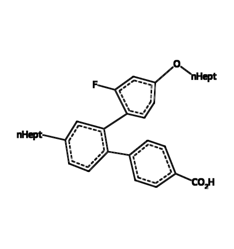 CCCCCCCOc1ccc(-c2cc(CCCCCCC)ccc2-c2ccc(C(=O)O)cc2)c(F)c1